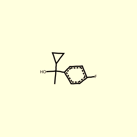 CC(O)(c1ccc(F)cc1)C1CC1